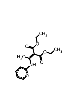 CCOC(=O)C(C(=O)OCC)=C(C)Nc1ccccn1